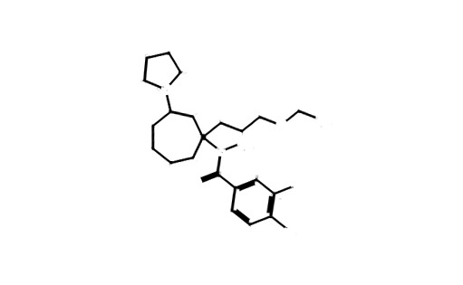 CCOCCCC1(N(C)C(=O)c2ccc(F)c(F)c2)CCCCC(N2CCCC2)C1